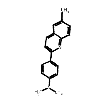 Cc1ccc2nc(-c3ccc(N(C)C)cc3)ccc2c1